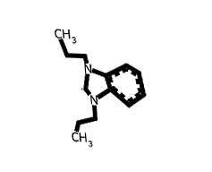 CCCN1[CH]N(CCC)c2ccccc21